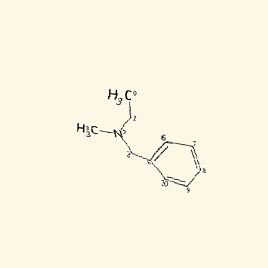 CCN(C)[CH]c1ccccc1